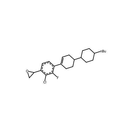 CCCCC1CCC(C2CC=C(c3ccc(C4CO4)c(Cl)c3F)CC2)CC1